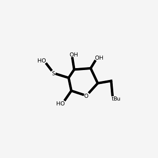 CC(C)(C)CC1OC(O)C(SO)C(O)C1O